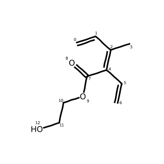 C=CC(C)=C(C=C)C(=O)OCCO